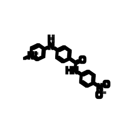 C[n+]1ccc(Nc2ccc(C(=O)Nc3ccc([N+](=O)[O-])cc3)cc2)cc1